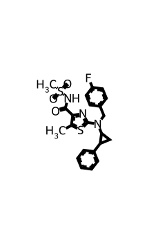 Cc1sc(N(Cc2ccc(F)cc2)C2CC2c2ccccc2)nc1C(=O)NS(C)(=O)=O